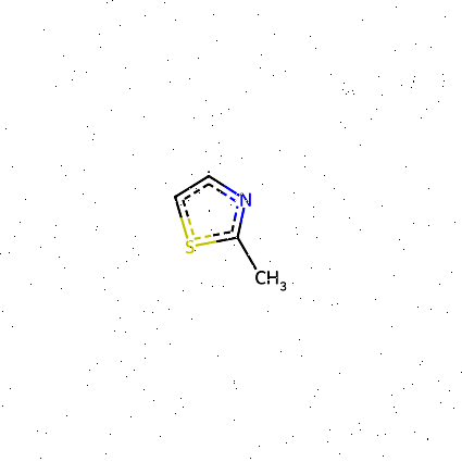 Cc1n[c]cs1